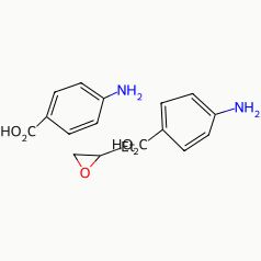 CCC1CO1.Nc1ccc(C(=O)O)cc1.Nc1ccc(C(=O)O)cc1